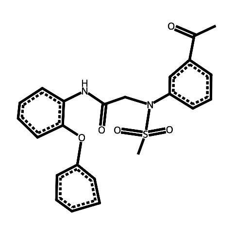 CC(=O)c1cccc(N(CC(=O)Nc2ccccc2Oc2ccccc2)S(C)(=O)=O)c1